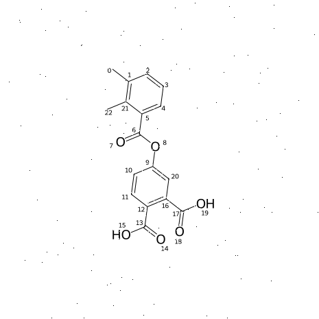 Cc1cccc(C(=O)Oc2ccc(C(=O)O)c(C(=O)O)c2)c1C